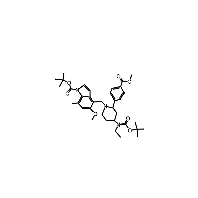 CCN(C(=O)OC(C)(C)C)C1CCN(Cc2c(OC)cc(C)c3c2ccn3C(=O)OC(C)(C)C)C(c2ccc(C(=O)OC)cc2)C1